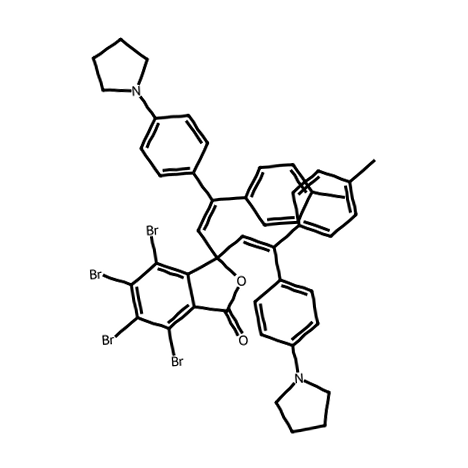 Cc1ccc(C(=CC2(C=C(c3ccc(C)cc3)c3ccc(N4CCCC4)cc3)OC(=O)c3c(Br)c(Br)c(Br)c(Br)c32)c2ccc(N3CCCC3)cc2)cc1